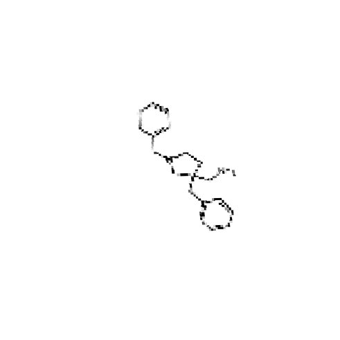 NCC1(Cc2ccccc2)CCN(Cc2ccccc2)C1